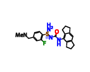 CNCc1ccc(/S(N)=N/C(=O)Nc2c3c(cc4c2CCC4)CCC3)c(F)c1